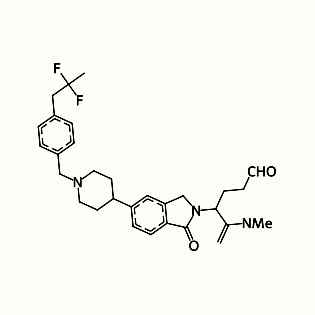 C=C(NC)C(CCC=O)N1Cc2cc(C3CCN(Cc4ccc(CC(C)(F)F)cc4)CC3)ccc2C1=O